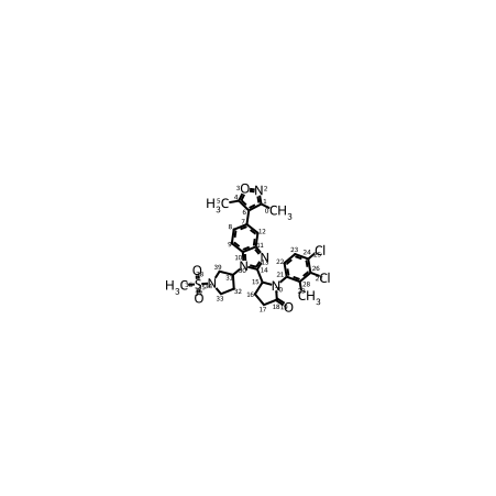 Cc1noc(C)c1-c1ccc2c(c1)nc(C1CCC(=O)N1c1ccc(Cl)c(Cl)c1C)n2C1CCN(S(C)(=O)=O)C1